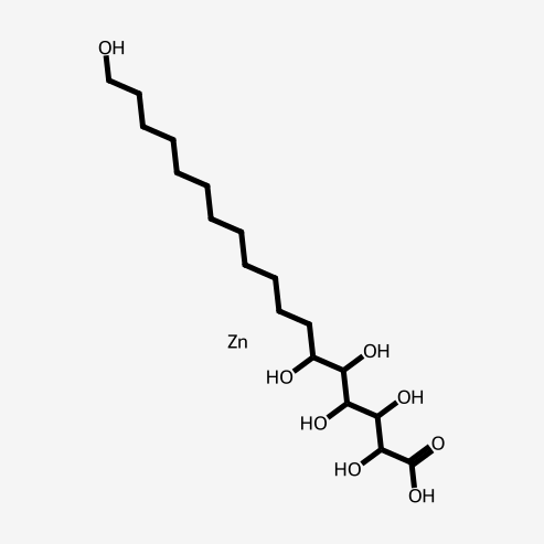 O=C(O)C(O)C(O)C(O)C(O)C(O)CCCCCCCCCCCCO.[Zn]